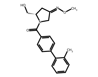 CON=C1C[C@@H](CO)N(C(=O)c2ccc(-c3ccccc3C)cc2)C1